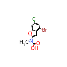 CN(C(=O)O)c1cc2c(Br)cc(Cl)cc2o1